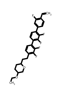 C=Cc1ccc(-c2ccc(-c3ccc(CCC4CCC(OCC)CO4)c(F)c3F)c(F)c2F)cc1F